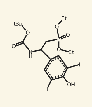 CCOP(=O)(CC(NC(=O)OC(C)(C)C)c1cc(I)c(O)c(I)c1)OCC